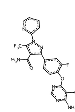 NC(=O)c1c(-c2ccc(Oc3ncnc(N)c3Cl)c(F)c2)nn(-c2ccccn2)c1C(F)(F)F